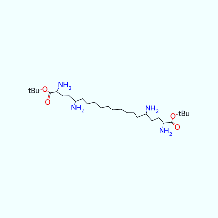 CC(C)(C)OC(=O)C(N)CCC(N)CCCCCCCCCCC(N)CCC(N)C(=O)OC(C)(C)C